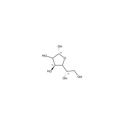 OC[C@H](O)C1O[C@@H](O)C(O)[C@@H]1O